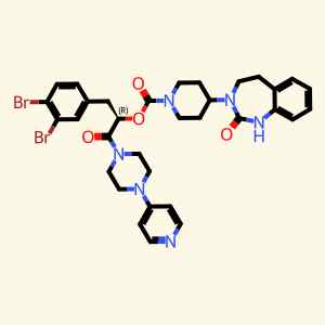 O=C(O[C@H](Cc1ccc(Br)c(Br)c1)C(=O)N1CCN(c2ccncc2)CC1)N1CCC(N2CCc3ccccc3NC2=O)CC1